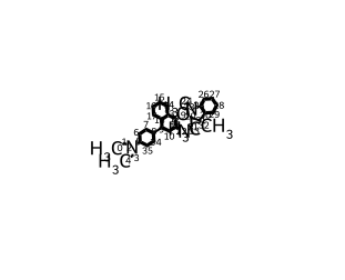 CCN(CC)c1ccc(-c2cc3c(c4ccccc24)OC2(C=N3)N(C)c3ccccc3C2(C)C)cc1